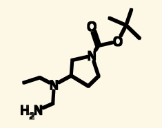 CCN(CN)C1CCN(C(=O)OC(C)(C)C)C1